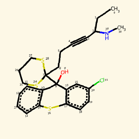 CCC(C#CCCC1(C2(O)c3ccccc3Sc3ccc(Cl)cc32)SCCCS1)NC